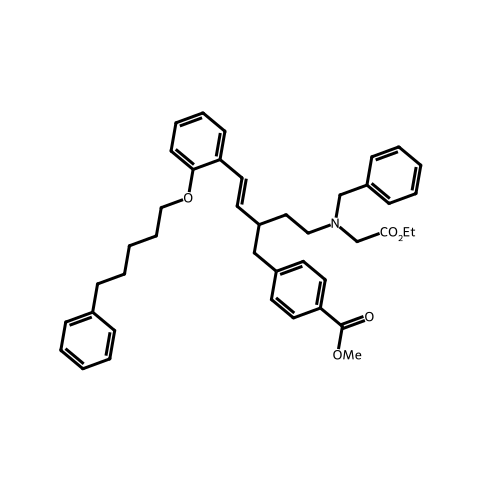 CCOC(=O)CN(CCC(/C=C/c1ccccc1OCCCCCc1ccccc1)Cc1ccc(C(=O)OC)cc1)Cc1ccccc1